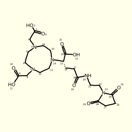 O=C(O)CN1CCN(CC(=O)O)CCN([C@@H](CCC(=O)NCCN2C(=O)[CH]CC2=O)C(=O)O)CC1